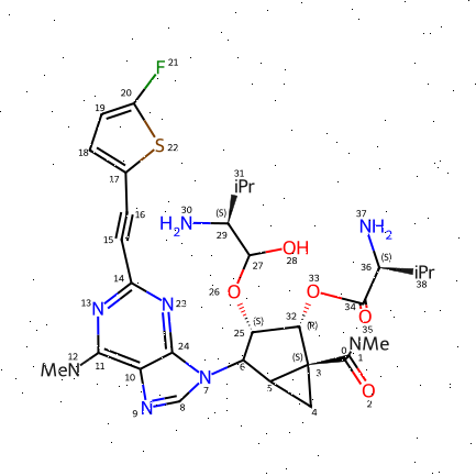 CNC(=O)[C@@]12CC1C(n1cnc3c(NC)nc(C#Cc4ccc(F)s4)nc31)[C@H](OC(O)[C@@H](N)C(C)C)[C@@H]2OC(=O)[C@@H](N)C(C)C